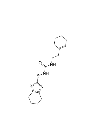 O=C(NCCC1=CCCCC1)NSc1nc2c(s1)CCCC2